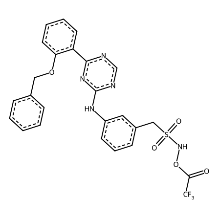 O=C(ONS(=O)(=O)Cc1cccc(Nc2ncnc(-c3ccccc3OCc3ccccc3)n2)c1)C(F)(F)F